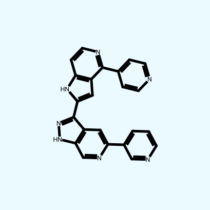 c1cncc(-c2cc3c(-c4cc5c(-c6ccncc6)nccc5[nH]4)n[nH]c3cn2)c1